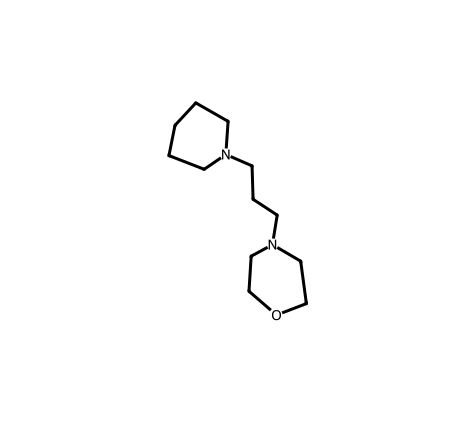 C1CCN(CCCN2CCOCC2)CC1